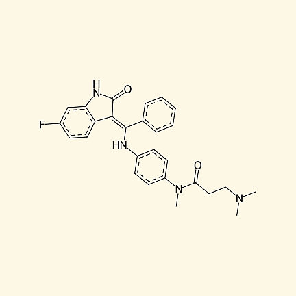 CN(C)CCC(=O)N(C)c1ccc(NC(=C2C(=O)Nc3cc(F)ccc32)c2ccccc2)cc1